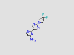 Nc1ccnc(-c2cnc(N3CC4C(C3)C4(F)F)nc2)n1